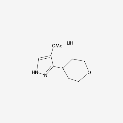 COc1c[nH]nc1N1CCOCC1.[LiH]